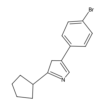 Brc1ccc(C2=CN=C(C3CCCC3)C2)cc1